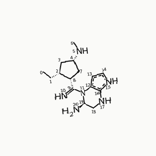 CC[C@@H]1C[C@H](NC)C[C@@H]1C(=N)N1c2cc[nH]c2NC[C@H]1N